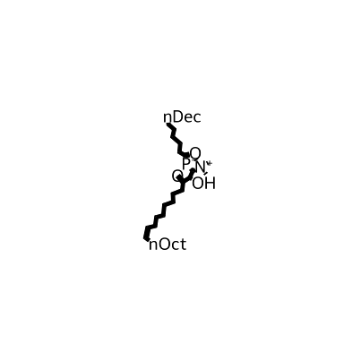 CCCCCCCC/C=C\CCCCCCCC(=O)C(O)C([P-]C(=O)CCCCCCCCCCCCCCC)[N+](C)(C)C